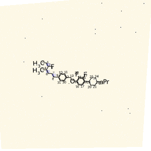 C\C=C(F)/C(C)=C\C=C\c1ccc(COc2ccc(C3CCC(CCC)CC3)c(F)c2F)cc1